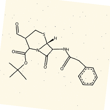 CC(C)(C)OC(=O)C1C(C=O)CS[C@@H]2C(NC(=O)Cc3ccccc3)C(=O)N12